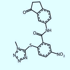 Cn1nnnc1Sc1ccc([N+](=O)[O-])cc1C(=O)Nc1ccc2c(c1)C(=O)CC2